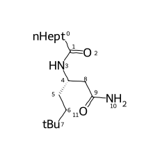 CCCCCCCC(=O)N[C@@H](CCC(C)(C)C)CC(N)=O